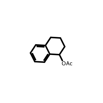 CC(=O)OC1CCCc2ccccc21